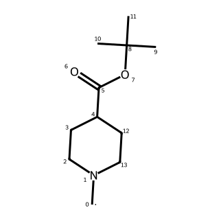 [CH2]N1CCC(C(=O)OC(C)(C)C)CC1